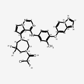 Cc1cc(Nc2ncnn3ccc(N4CCN(C(=O)C(F)Cl)CC(F)(F)C4)c23)ccc1Oc1ccn2ncnc2c1